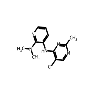 Cc1ncc(Cl)c(Nc2cccnc2N(C)C)n1